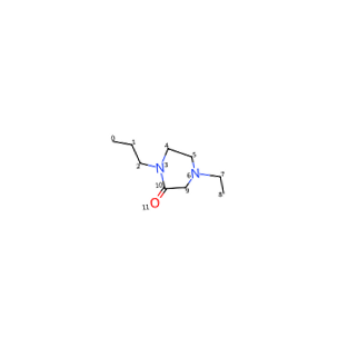 CCCN1CCN(CC)CC1=O